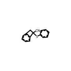 N#CC1(Sc2ccccc2)Cc2ccccc21